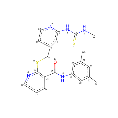 CNC(=S)Nc1cc(CSc2ncccc2C(=O)Nc2cc(C)cc(C)c2)ccn1